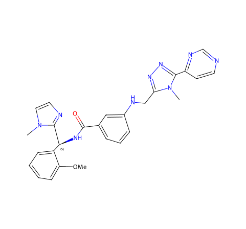 COc1ccccc1[C@H](NC(=O)c1cccc(NCc2nnc(-c3ccncn3)n2C)c1)c1nccn1C